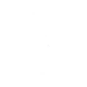 CC1(C)c2ccccc2-c2c(-c3ccc(N(c4ccc(-c5ccccc5)cc4)c4cccc5c4-c4ccccc4C54c5ccccc5-c5ccc(-c6ccccc6)cc54)cc3)cccc21